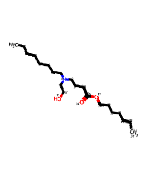 CCCCCCCCN(CCO)CCCC(=O)OCCCCCCC